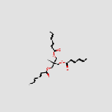 C/C=C/C=C/C(=O)OCC(CC)(COC(=O)/C=C/C=C/C)COC(=O)/C=C/C=C/C